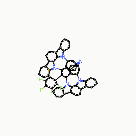 N#Cc1cc(-n2c3ccccc3c3ccc4c5ccccc5n(-c5ccccc5)c4c32)c(-c2c(F)c(F)c(F)c(F)c2F)c(-n2c3ccccc3c3ccc4c5ccccc5n(-c5ccccc5)c4c32)c1